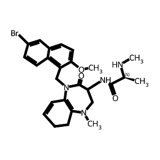 CN[C@@H](C)C(=O)NC1CN(C)C2=C(C=CCC2)N(Cc2c(OC)ccc3cc(Br)ccc23)C1=O